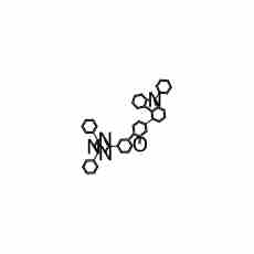 c1ccc(-c2nc(-c3ccccc3)nc(-c3ccc4oc5cc(-c6cccc7c6c6ccccc6n7-c6ccccc6)ccc5c4c3)n2)cc1